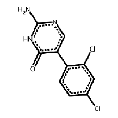 Nc1ncc(-c2ccc(Cl)cc2Cl)c(=O)[nH]1